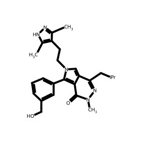 Cc1n[nH]c(C)c1CCn1cc2c(CC(C)C)nn(C)c(=O)c2c1-c1cccc(CO)c1